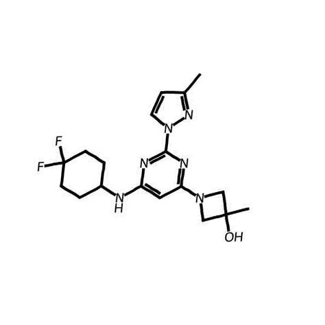 Cc1ccn(-c2nc(NC3CCC(F)(F)CC3)cc(N3CC(C)(O)C3)n2)n1